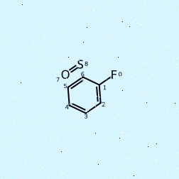 Fc1ccccc1.O=S